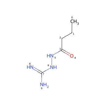 CCCC(=O)NNC(=N)N